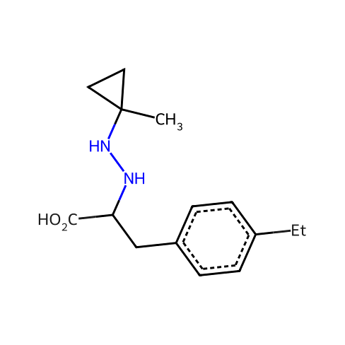 CCc1ccc(CC(NNC2(C)CC2)C(=O)O)cc1